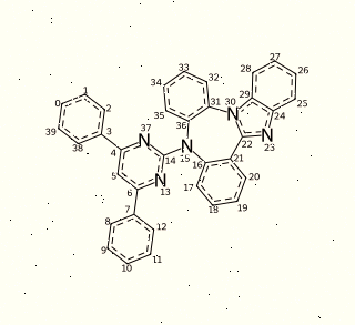 c1ccc(-c2cc(-c3ccccc3)nc(N3c4ccccc4-c4nc5ccccc5n4-c4ccccc43)n2)cc1